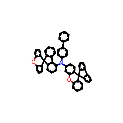 c1ccc(-c2ccc(N(c3ccc4c(c3)Oc3ccccc3C43c4ccccc4-c4ccccc43)c3cccc4c3-c3ccccc3C43c4ccccc4Oc4ccccc43)cc2)cc1